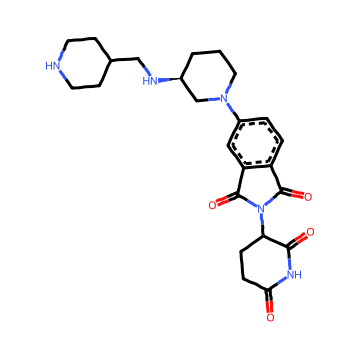 O=C1CCC(N2C(=O)c3ccc(N4CCC[C@H](NCC5CCNCC5)C4)cc3C2=O)C(=O)N1